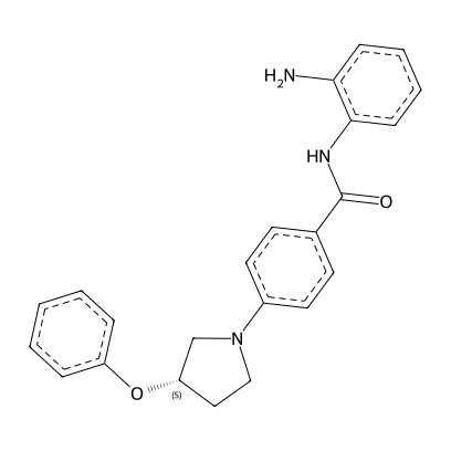 Nc1ccccc1NC(=O)c1ccc(N2CC[C@H](Oc3ccccc3)C2)cc1